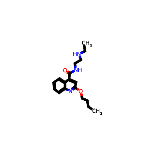 CCCCOc1cc(C(=O)NCCNCC)c2ccccc2n1